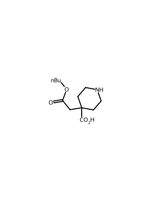 CCCCOC(=O)CC1(C(=O)O)CCNCC1